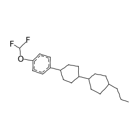 CCCC1CCC(C2CCC(c3ccc(OC(F)F)cc3)CC2)CC1